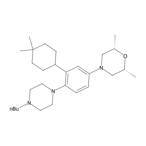 CCCCN1CCN(c2ccc(N3C[C@@H](C)O[C@@H](C)C3)cc2C2CCC(C)(C)CC2)CC1